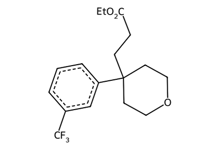 CCOC(=O)CCC1(c2cccc(C(F)(F)F)c2)CCOCC1